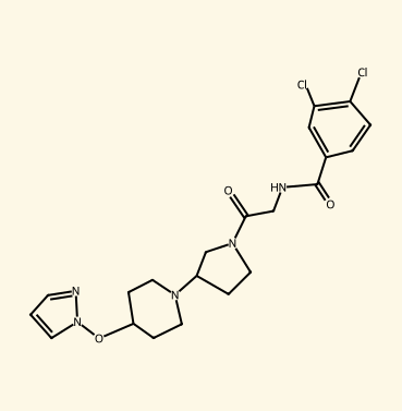 O=C(NCC(=O)N1CCC(N2CCC(On3cccn3)CC2)C1)c1ccc(Cl)c(Cl)c1